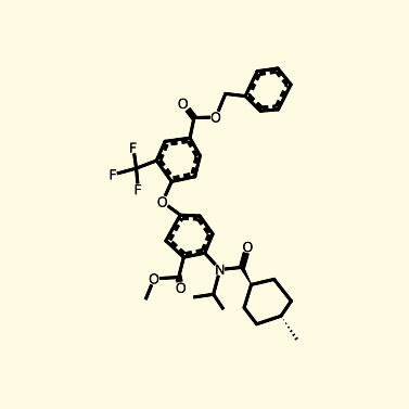 COC(=O)c1cc(Oc2ccc(C(=O)OCc3ccccc3)cc2C(F)(F)F)ccc1N(C(=O)[C@H]1CC[C@H](C)CC1)C(C)C